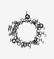 CCCC[C@@H]1NC(=O)[C@H](Cc2cccc(I)c2)NC(=O)CN(C)C(=O)[C@H](CC2CCCCC2)N(C)C(=O)CN(C)C(=O)CN(C)C(=O)[C@H]([C@@H](C)CC)NC(=O)[C@H](CC(C)C)N(C)C(=O)C[C@@H](C(=O)N2CCCCC2)N(C)C(=O)[C@H](CC(C)C)NC(=O)C(C)(C)N(C)C1=O